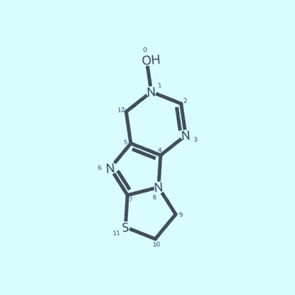 ON1C=Nc2c(nc3n2CCS3)C1